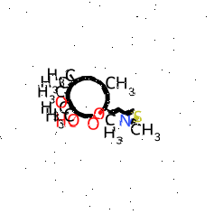 C/C1=C/C[C@@H](/C(C)=C/c2csc(C)n2)OC(=O)C[C@H](O)C(C)(C)C(=O)[C@H](C)[C@@H](C)[C@@H](C)CCC1